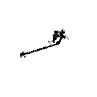 CCn1nc(C)cc1C(=O)Nc1nc2cc(C(N)=O)cnc2n1C/C=C/Cn1c(NC(=O)c2cc(C)nn2CC)nc2cc(C(N)=O)cc(OCCCN3CCN(CCOCCOCCOCCOCCOCCOCCOCCOCCOCCOCCNC(=O)CN4C(=O)C=CC4=O)CC3)c21